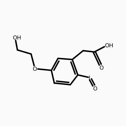 O=Ic1ccc(OCCO)cc1CC(=O)O